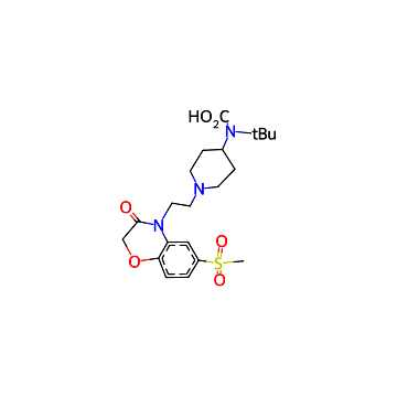 CC(C)(C)N(C(=O)O)C1CCN(CCN2C(=O)COc3ccc(S(C)(=O)=O)cc32)CC1